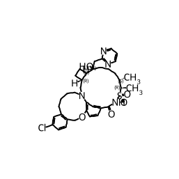 C[C@@H]1[C@@H](C)CCC[C@@](O)(Cc2ncccn2)[C@@H]2CC[C@H]2CN2CCCCc3cc(Cl)ccc3COc3ccc(cc32)C(=O)NS1(=O)=O